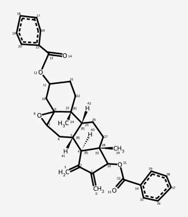 C=C1C(=C)[C@H]2[C@@H]3CC4OC45CC(OC(=O)c4ccccc4)CC[C@]5(C)[C@@H]3CC[C@]2(C)C1OC(=O)c1ccccc1